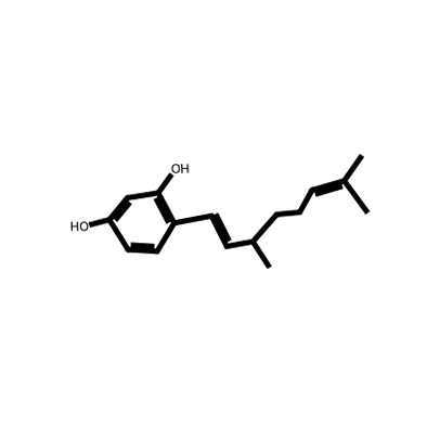 CC(C)=CCCC(C)/C=C/c1ccc(O)cc1O